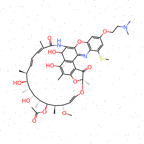 CO[C@H]1/C=C/O[C@@]2(C)Oc3c(C)c(O)c4c(c3C2=O)C2=Nc3c(cc(OCCN(C)C)cc3SC)OC2=C(NC(=O)/C(C)=C\C=C\[C@H](C)[C@H](O)[C@@H](C)[C@@H](O)[C@@H](C)[C@H](OC(C)=O)[C@@H]1C)C4O